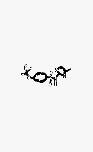 Cc1csc(NS(=O)(=O)c2ccc(OC(F)(F)F)cc2)n1